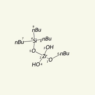 CCCC[O][Zr]([OH])([OH])[O][Si](CCCC)(CCCC)CCCC